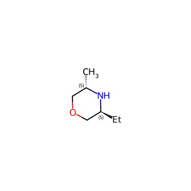 CC[C@H]1COC[C@H](C)N1